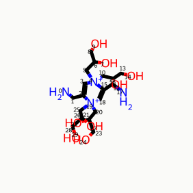 NCC1=C[N+](CC(O)CO)(CC(O)CO)C(CN)=C[N+]1(CC(O)CO)CC(O)CO